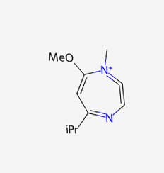 COC1=CC(C(C)C)=NC=C=[N+]1C